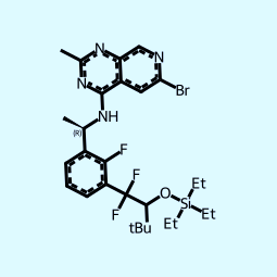 CC[Si](CC)(CC)OC(C(C)(C)C)C(F)(F)c1cccc([C@@H](C)Nc2nc(C)nc3cnc(Br)cc23)c1F